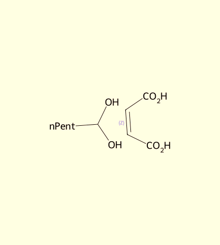 CCCCCC(O)O.O=C(O)/C=C\C(=O)O